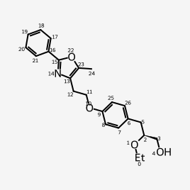 CCO[C@H](CO)Cc1ccc(OCCc2nc(-c3ccccc3)oc2C)cc1